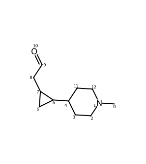 CN1CCC(C2CC2CC=O)CC1